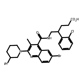 Cc1c(N2CCCC(C(C)C)C2)nc2ccc(Br)cc2c1C(=O)NCC(CCC(=O)O)c1ccccc1Cl